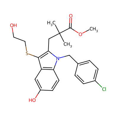 COC(=O)C(C)(C)Cc1c(SCCO)c2cc(O)ccc2n1Cc1ccc(Cl)cc1